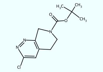 CC(C)(C)OC(=O)N1CCc2cc(Cl)nnc2C1